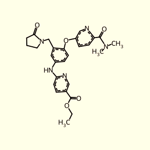 CCOC(=O)c1ccc(Nc2ccc(Oc3ccc(C(=O)N(C)C)nc3)c(CN3CCCC3=O)c2)nc1